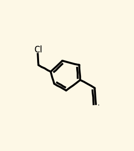 [CH]=Cc1ccc(CCl)cc1